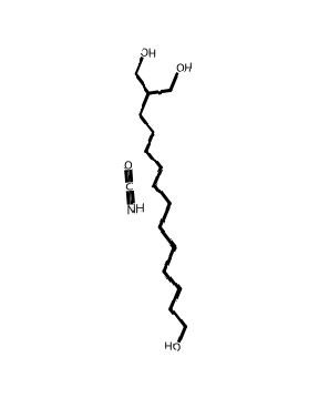 N=C=O.OCCCCCCCCCCCCC(CO)CO